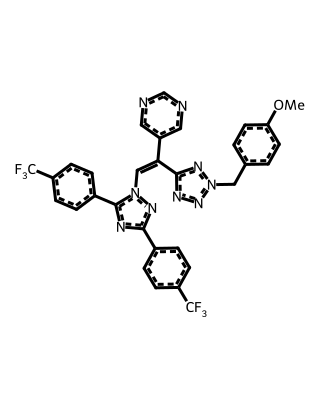 COc1ccc(Cn2nnc(/C(=C\n3nc(-c4ccc(C(F)(F)F)cc4)nc3-c3ccc(C(F)(F)F)cc3)c3cncnc3)n2)cc1